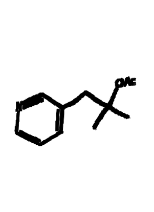 CC(=O)OC(C)(C)Cc1cccnc1